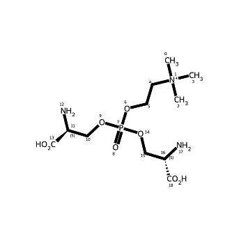 C[N+](C)(C)CCOP(=O)(OC[C@H](N)C(=O)O)OC[C@H](N)C(=O)O